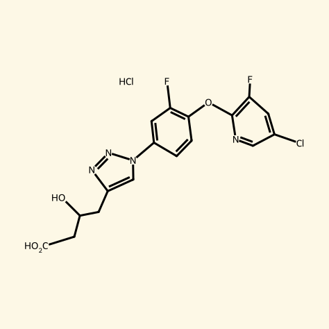 Cl.O=C(O)CC(O)Cc1cn(-c2ccc(Oc3ncc(Cl)cc3F)c(F)c2)nn1